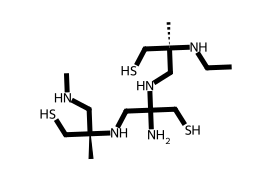 CCN[C@](C)(CS)CNC(N)(CS)CN[C@](C)(CS)CNC